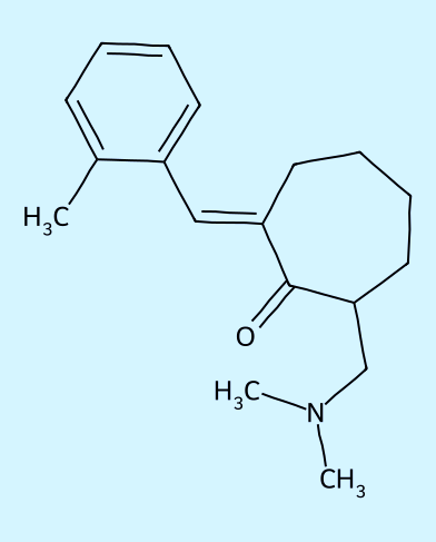 Cc1ccccc1C=C1CCCCC(CN(C)C)C1=O